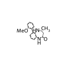 COc1ccccc1-c1cccc2c1N[C@H](C)CC(=O)N2